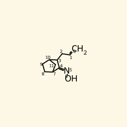 C=CCC1C(=NO)C2CCC1C2